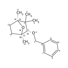 CC1(C)[C@H](OCc2ccccc2)[C@@]2(C)CC[C@]1(C)O2